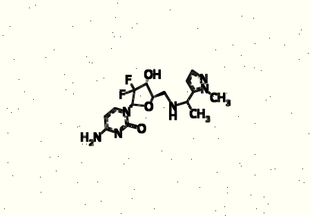 CC(NC[C@H]1O[C@@H](n2ccc(N)nc2=O)C(F)(F)[C@@H]1O)c1ccnn1C